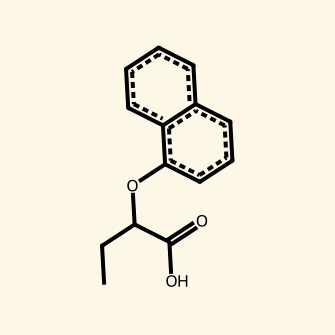 CCC(Oc1cccc2ccccc12)C(=O)O